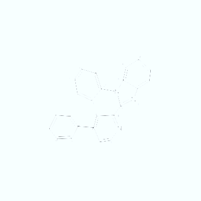 c1ccc(-c2ccnc(-c3nc4ccccc4n3-c3ccccc3)c2)cc1